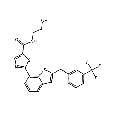 O=C(NCCO)c1cnc(-c2cccc3cc(Cc4cccc(C(F)(F)F)c4)sc23)s1